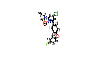 C=CCN(c1cc(Cl)cc(-c2ccc(Oc3ccc(F)cc3)cc2)n1)[S+](C)[O-]